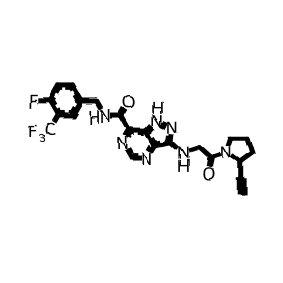 C#CC1CCCN1C(=O)CNc1n[nH]c2c(C(=O)NCc3ccc(F)c(C(F)(F)F)c3)ncnc12